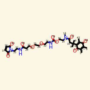 CC1=C(C)C(=O)C(C(C)(C)CC(=O)N(C)CCOC(=O)NCCOCCOCCC(=O)NCCN2C(=O)C=CC2=O)=C(C)C1=O